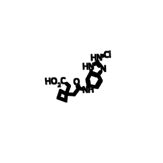 O=C(O)CC1(CC(=O)Nc2ccc3nc(NCl)[nH]c3c2)CCC1